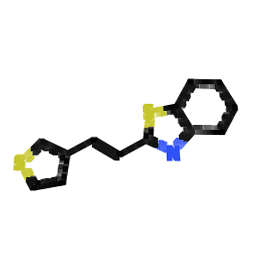 C(=C\c1nc2ccccc2s1)/c1ccsc1